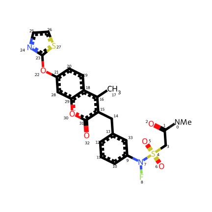 CNC(=O)CS(=O)(=O)N(F)c1cccc(Cc2c(C)c3ccc(Oc4nccs4)cc3oc2=O)c1